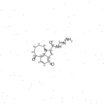 NN=CNC(=O)c1cc2c(Cl)ccc3c2n1CCCCC3=O